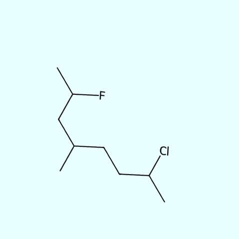 CC(F)CC(C)CCC(C)Cl